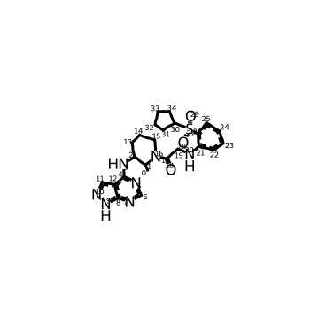 CC1C(Nc2ncnc3[nH]ncc23)CCCN1C(=O)CNc1ccccc1S(=O)(=O)C1CCCC1